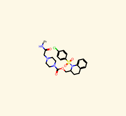 CC(C)NC(=O)CN1CCN(C(=O)OCC2CCc3ccccc3N2S(=O)(=O)c2ccc(Cl)cc2)CC1